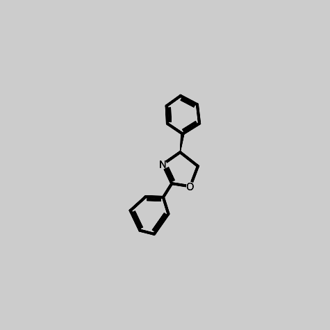 c1ccc(C2=N[C@@H](c3ccccc3)CO2)cc1